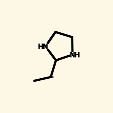 C[CH]C1NCCN1